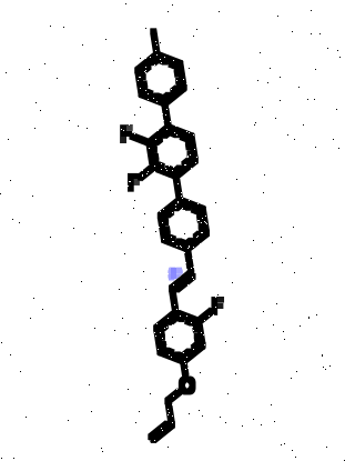 C=CCOc1ccc(/C=C/c2ccc(-c3ccc(-c4ccc(C)cc4)c(F)c3F)cc2)c(F)c1